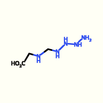 NNNNCNCC(=O)O